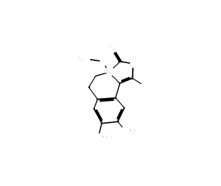 COc1cc2c(cc1OC)C1=C(C)SC(=N)[N+]1(SC#N)CC2